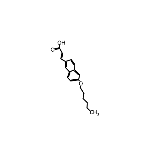 CCCCCCOc1ccc2cc(C=CC(=O)O)ccc2c1